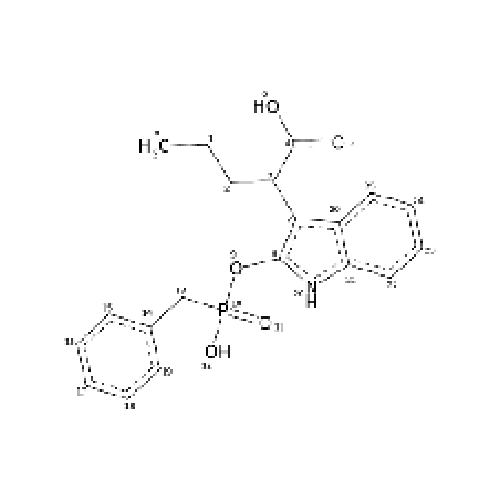 CCCC(C(=O)O)c1c(OP(=O)(O)Cc2ccccc2)[nH]c2ccccc12